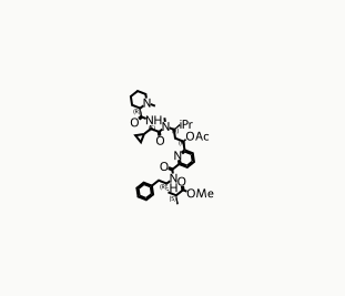 COC(=O)[C@@H](C)C[C@H](Cc1ccccc1)NC(=O)c1cccc([C@@H](C[C@H](C(C)C)N(C)C(=O)[C@@H](NC(=O)[C@H]2CCCCN2C)C2CC2)OC(C)=O)n1